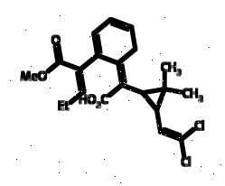 CCC=C(C(=O)OC)C1=CC=CCC1=C(C(=O)O)C1C(C=C(Cl)Cl)C1(C)C